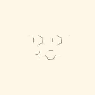 CC(C)(C)c1ccc([I+]c2ccc(C(C)(C)C)cc2)cc1.O=S(=O)([O-])c1ccc(F)cc1